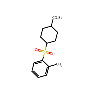 CCOC(=O)C1CCC(S(=O)(=O)c2ccccc2C)CC1